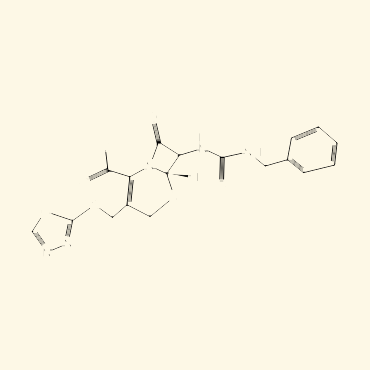 O=C(NCc1ccccc1)NC1C(=O)N2C(C(=O)O)=C(CSc3nnco3)CS[C@@H]12